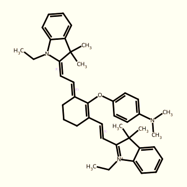 CCN1/C(=C/C=C2\CCCC(/C=C/C3=[N+](CC)c4ccccc4C3(C)C)=C2Oc2ccc(N(C)C)cc2)C(C)(C)c2ccccc21